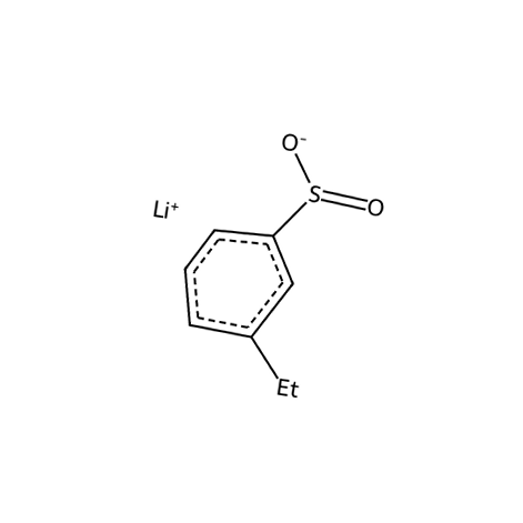 CCc1cccc(S(=O)[O-])c1.[Li+]